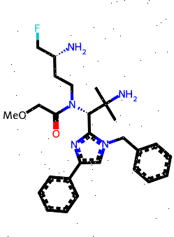 COCC(=O)N(CC[C@@H](N)CF)[C@@H](c1nc(-c2ccccc2)cn1Cc1ccccc1)C(C)(C)N